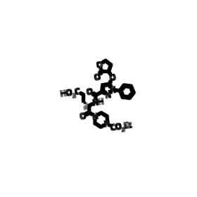 CCOC(=O)N1CCN(C(=O)[C@H](CCC(=O)O)NC(=O)c2cc(OC3CCOC3=O)n(-c3ccccc3)n2)CC1